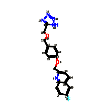 Fc1ccc2nc(COc3ccc(COCc4nnn[nH]4)cc3)ccc2c1